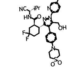 CC(C)[C@@H](C#N)NC(=O)[C@@H]1CC(F)(F)CC[C@H]1c1nn(-c2ccc(F)cn2)c(CO)c1-c1ccc(N2CCS(=O)(=O)CC2)cc1